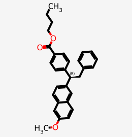 CCCCOC(=O)c1ccc([C@@H](Cc2ccccc2)c2ccc3cc(OC)ccc3c2)cc1